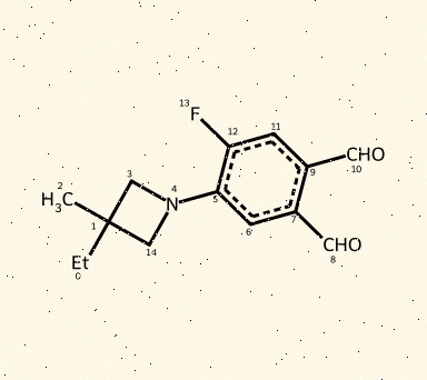 CCC1(C)CN(c2cc(C=O)c(C=O)cc2F)C1